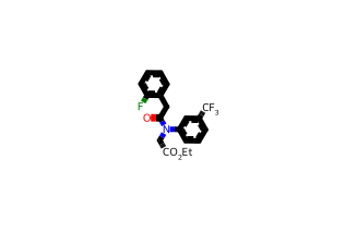 CCOC(=O)CN(C(=O)Cc1ccccc1F)c1cccc(C(F)(F)F)c1